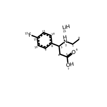 CCNC(CC(=O)O)c1ccc(F)cc1.[LiH]